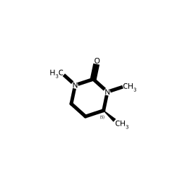 C[C@H]1CCN(C)C(=O)N1C